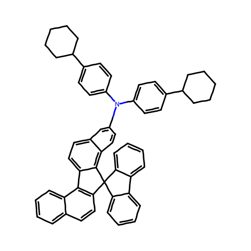 c1ccc2c(c1)-c1ccccc1C21c2ccc3ccccc3c2-c2ccc3cc(N(c4ccc(C5CCCCC5)cc4)c4ccc(C5CCCCC5)cc4)ccc3c21